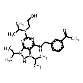 CC(=O)c1cccc(CNc2nc(N(CCO)C(C)C)nc3c2N(C(C)C)NN3C(C)C)c1